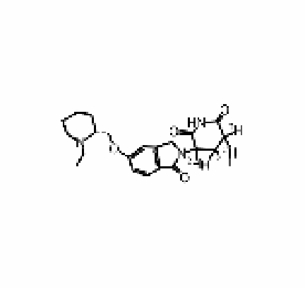 [2H]C1([2H])C(=O)NC(=O)C([2H])(N2Cc3cc(OC[C@H]4CCCCN4CC)ccc3C2=O)C1([2H])[2H]